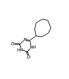 O=c1nc(C2CCCCCCC2)[nH]c(=O)[nH]1